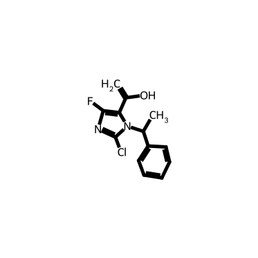 C=C(O)c1c(F)nc(Cl)n1C(C)c1ccccc1